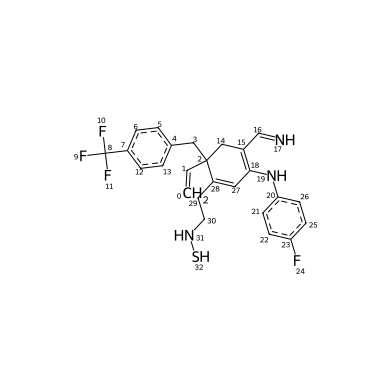 C=CC1(Cc2ccc(C(F)(F)F)cc2)CC(C=N)=C(Nc2ccc(F)cc2)C=C1CCNS